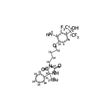 CCCc1cc(C(O)(C(F)(F)F)C(F)(F)F)ccc1OCCCCN1C(=O)NC(c2ccccc2)(C(C)(C)C)C1=O